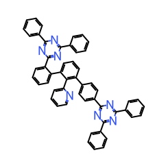 c1ccc(-c2nc(-c3ccccc3)nc(-c3ccc(-c4cccc(-c5ccccc5-c5nc(-c6ccccc6)nc(-c6ccccc6)n5)c4-c4ccccn4)cc3)n2)cc1